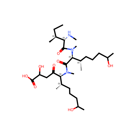 CC[C@H](C)[C@H](NC)C(=O)N(C)[C@H](C(=O)N(C)[C@H](C(=O)CC(O)C(=O)O)[C@@H](C)CCCC(C)O)[C@@H](C)CCCC(C)O